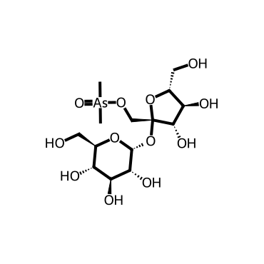 C[As](C)(=O)OC[C@@]1(O[C@H]2O[C@H](CO)[C@@H](O)[C@H](O)[C@H]2O)O[C@H](CO)[C@@H](O)[C@@H]1O